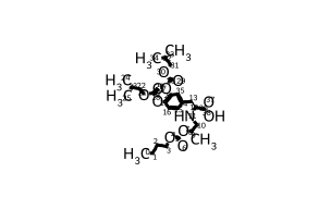 CCCCOC(=O)OC(C)CN[C@@H](Cc1ccc(OC(=O)OCC(C)C)c(OC(=O)OCC(C)C)c1)C(=O)O